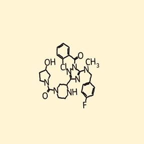 CN(Cc1ccc(F)cc1)c1nc(C2CN(C(=O)N3CCC(O)C3)CCN2)nn1C(=O)c1ccccc1Cl